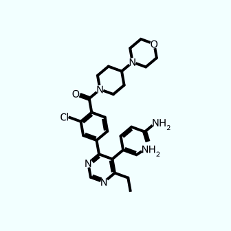 C=C(N)/C=C\C(=C/N)c1c(CC)ncnc1-c1ccc(C(=O)N2CCC(N3CCOCC3)CC2)c(Cl)c1